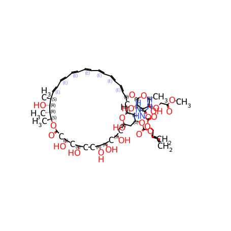 C=CCOC(=O)N[C@@H]1[C@H](O)[C@H](O[C@H]2/C=C/C=C/C=C/C=C/C=C/C=C/C=C/[C@H](C)[C@@H](O)[C@@H](C)[C@H](C)OC(=O)C[C@H](O)C[C@H](O)CC[C@@H](O)[C@H](O)C[C@H](O)C[C@]3(O)C[C@H](OC(=O)OCC=C)[C@@H](NC(=O)NOCC(=O)OC)[C@H](C2)O3)O[C@H](C)[C@H]1O